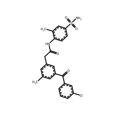 Cc1cc(CC(=O)Nc2ccc(S(N)(=O)=O)cc2C)cc(C(=O)c2cccc(Cl)c2)c1